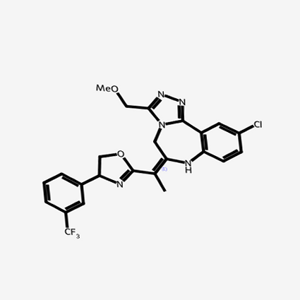 COCc1nnc2n1C/C(=C(/C)C1=NC(c3cccc(C(F)(F)F)c3)CO1)Nc1ccc(Cl)cc1-2